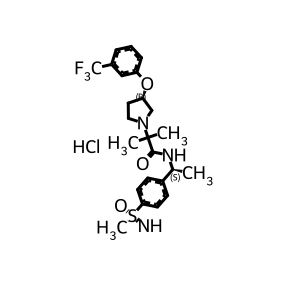 C[C@H](NC(=O)C(C)(C)N1CC[C@@H](Oc2cccc(C(F)(F)F)c2)C1)c1ccc(S(C)(=N)=O)cc1.Cl